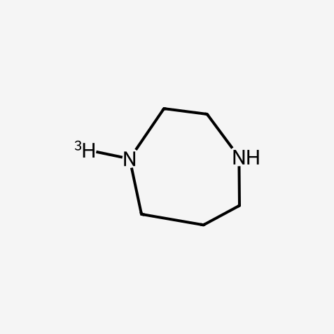 [3H]N1CCCNCC1